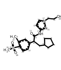 Cc1cc(C(CC2CCCC2)C(=O)Nc2ccn(CCO)n2)ccc1S(C)(=O)=O